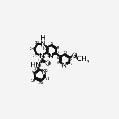 COc1cncc(-c2ccc3c(n2)N(C(=O)Nc2ccccn2)CCCN3)c1